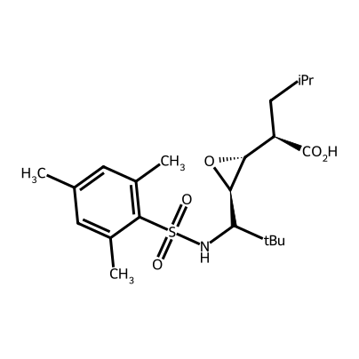 Cc1cc(C)c(S(=O)(=O)NC([C@H]2O[C@@H]2[C@@H](CC(C)C)C(=O)O)C(C)(C)C)c(C)c1